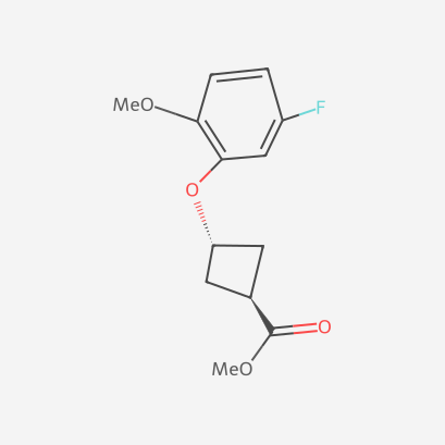 COc1ccc(F)cc1O[C@H]1C[C@H](C(=O)OC)C1